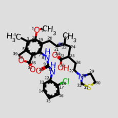 COc1c(C)c2c(c(NC(=O)Nc3ccccc3Cl)c1C/C=C(\C)CC(CCN1CCSC1)C(=O)O)C(=O)OC2